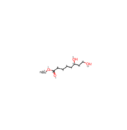 CCCCOC(=O)CCCC[C@@H](O)CCO